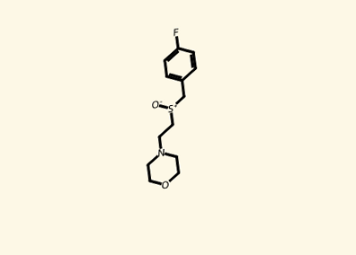 [O-][S+](CCN1CCOCC1)Cc1ccc(F)cc1